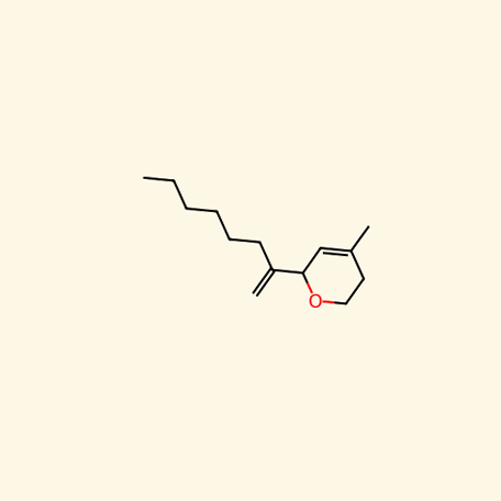 C=C(CCCCCC)C1C=C(C)CCO1